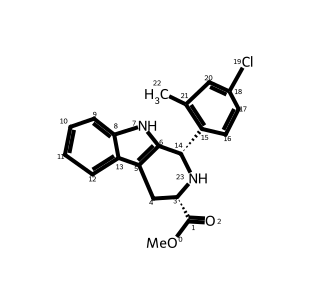 COC(=O)[C@@H]1Cc2c([nH]c3ccccc23)[C@H](c2ccc(Cl)cc2C)N1